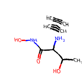 C#C.C#C.CC(O)C(N)C(=O)NO